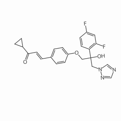 O=C(/C=C/c1ccc(OCC(O)(Cn2cncn2)c2ccc(F)cc2F)cc1)C1CC1